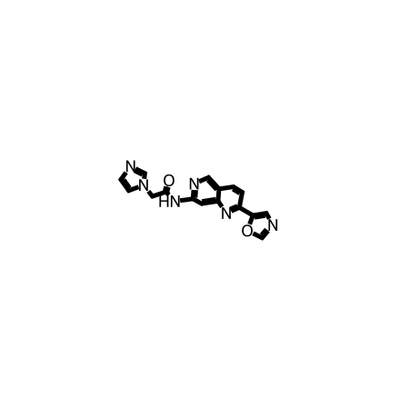 O=C(Cn1ccnc1)Nc1cc2nc(-c3cnco3)ccc2cn1